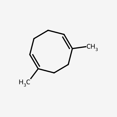 CC1=CCCC=C(C)CC1